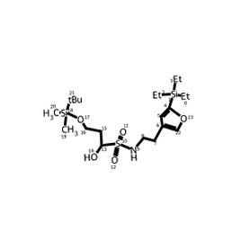 CC[Si](CC)(CC)c1cc(CCNS(=O)(=O)C(O)CCO[Si](C)(C)C(C)(C)C)co1